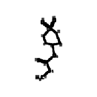 CSC(=S)OC1CCS(=O)(=O)CC1